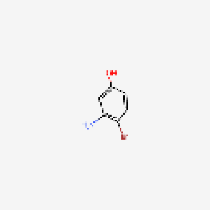 Nc1cc(O)ccc1Br